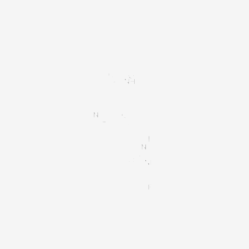 Cc1cc2nccc(Oc3ccc4c(ccn4C(=O)NCCF)c3)c2cc1C(=O)NOCC(C)C